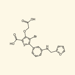 O=C(O)COc1c(C(=O)O)sc(-c2cccc(NCc3ccco3)c2)c1Br